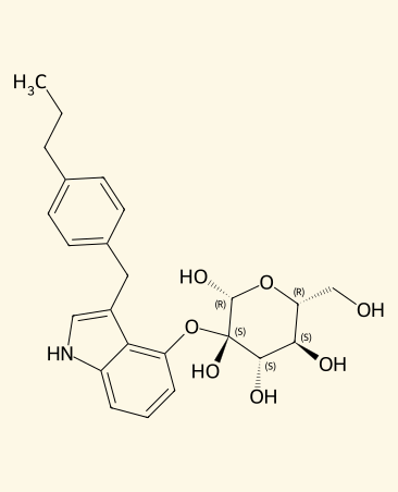 CCCc1ccc(Cc2c[nH]c3cccc(O[C@]4(O)[C@H](O)O[C@H](CO)[C@@H](O)[C@@H]4O)c23)cc1